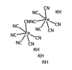 N#[C][Fe]([C]#N)([C]#N)([C]#N)([C]#N)[C]#N.N#[C][Fe]([C]#N)([C]#N)([C]#N)([C]#N)[C]#N.[KH].[KH].[KH].[KH]